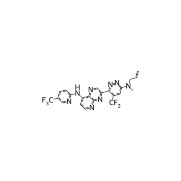 C=CCN(C)c1cc(C(F)(F)F)c(-c2cnc3c(Nc4ccc(C(F)(F)F)cn4)ccnc3n2)nn1